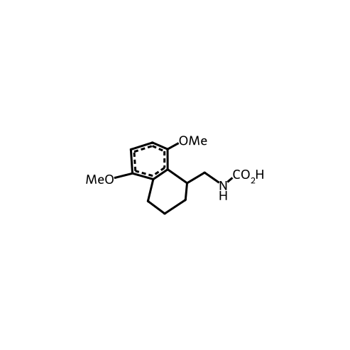 COc1ccc(OC)c2c1CCCC2CNC(=O)O